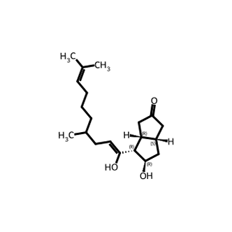 CC(C)=CCCCC(C)CC=C(O)[C@@H]1[C@@H]2CC(=O)C[C@@H]2C[C@H]1O